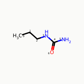 C[CH]CNC(N)=O